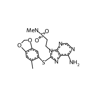 CNS(=O)(=O)CCn1c(Sc2cc3c(cc2C)OCO3)nc2c(N)ncnc21